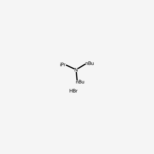 Br.CCCCN(CCCC)C(C)C